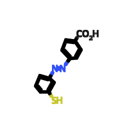 O=C(O)c1ccc(N=Nc2cccc(S)c2)cc1